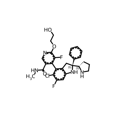 CNC(=O)c1cnc(OCCO)c(F)c1-c1c(Cl)c(F)cc2c1C[C@](c1ccccc1)([C@@H]1CCCN1)N2